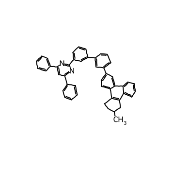 CC1CCc2c(c3ccccc3c3cc(-c4cccc(-c5cccc(-c6nc(-c7ccccc7)cc(-c7ccccc7)n6)c5)c4)ccc23)C1